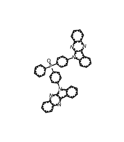 O=P(c1ccccc1)(c1ccc(-n2c3ccccc3c3nc4ccccc4nc32)cc1)c1ccc(-n2c3ccccc3c3nc4ccccc4nc32)cc1